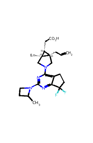 C=CC[C@]12CN(c3nc(N4CCC4C)nc4c3CCC4(F)F)C[C@@]1(CC)[C@@H]2CC(=O)O